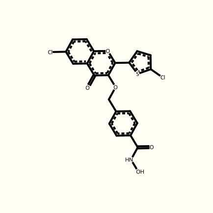 O=C(NO)c1ccc(COc2c(-c3ccc(Cl)s3)oc3ccc(Cl)cc3c2=O)cc1